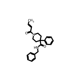 C/C=C/C(=O)N1CCC(C(=O)NCc2ccccc2)(c2ccccc2)CC1